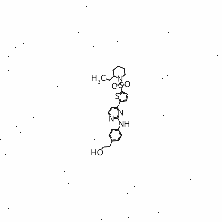 CCC1CCCCN1S(=O)(=O)c1ccc(-c2ccnc(Nc3ccc(CCO)cc3)n2)s1